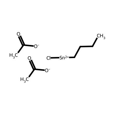 CC(=O)[O-].CC(=O)[O-].CCC[CH2][Sn+2][Cl]